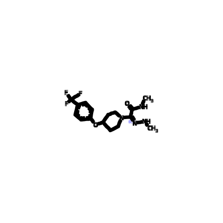 CN/N=C(\C(=O)NC)N1CCC(Oc2ccc(C(F)(F)F)cc2)CC1